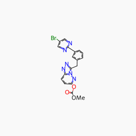 COC(=O)Oc1ccc2nnc(Cc3cccc(-c4ncc(Br)cn4)c3)n2n1